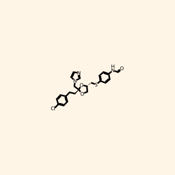 O=CNc1ccc(SC[C@@H]2CO[C@](CCc3ccc(Cl)cc3)(Cn3ccnc3)O2)cc1